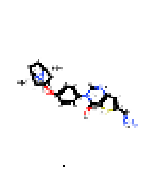 CN1[C@@H]2CC[C@H]1CC(Oc1ccc(-n3cnc4cc(CN)sc4c3=O)cc1)C2